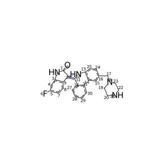 O=C1Nc2cc(F)ccc2/C1=C(/Nc1ccc(CN2CCNCC2)cc1)c1ccccc1